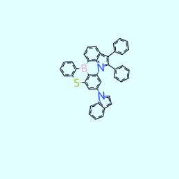 c1ccc(-c2c(-c3ccccc3)n3c4c(cccc24)B2c4ccccc4Sc4cc(-n5ccc6ccccc65)cc-3c42)cc1